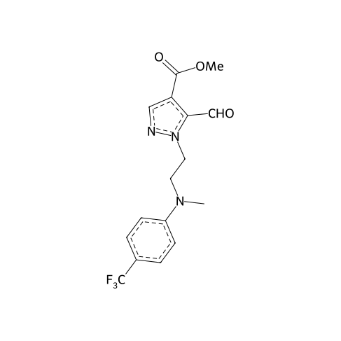 COC(=O)c1cnn(CCN(C)c2ccc(C(F)(F)F)cc2)c1C=O